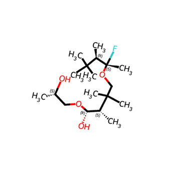 C[C@H](O)CO[C@@H](O)[C@@H](C)C(C)(C)CO[C@@](C)(F)[C@H](C)C(C)(C)C